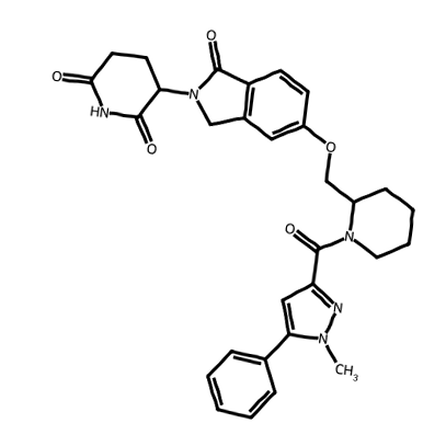 Cn1nc(C(=O)N2CCCCC2COc2ccc3c(c2)CN(C2CCC(=O)NC2=O)C3=O)cc1-c1ccccc1